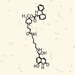 CC1(OC(=O)Nc2ccccc2-c2ccccc2)CCN(CCC(=O)NCCCCCNC[C@@H](O)c2ccc(O)c3[nH]c(=O)ccc23)CC1